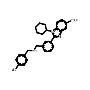 CC(C)(C)c1ccc(CNCc2cccc(-c3nc4cc(C(=O)O)ccc4n3C3CCCCC3)c2)cc1